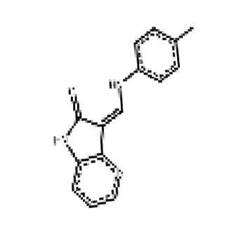 O=C1Nc2cccnc2C1=CNc1ccc(I)cc1